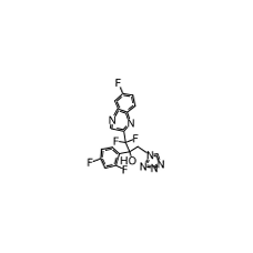 OC(Cn1cnnn1)(c1ccc(F)cc1F)C(F)(F)c1cnc2cc(F)ccc2n1